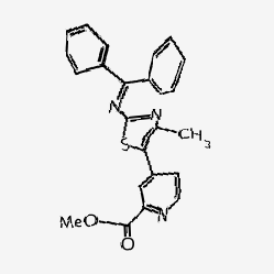 COC(=O)c1cc(-c2sc(N=C(c3ccccc3)c3ccccc3)nc2C)ccn1